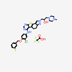 CN1CCN(C[C@@H](O)Cn2cc3c(n2)CCc2c-3sc3ncnc(Nc4ccc(OCc5cccc(F)c5)c(Cl)c4)c23)CC1.O=C(O)C(F)(F)F